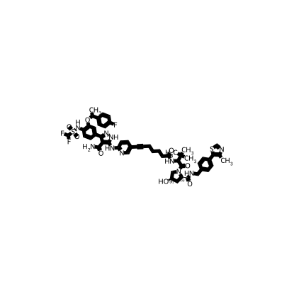 Cc1ncsc1-c1ccc(CNC(=O)[C@@H]2C[C@@H](O)CN2C(=O)C(NC(=O)CCCCC#Cc2ccc(Nc3[nH]nc(-c4ccc(NS(=O)(=O)C(F)F)c(OC(C)c5ccc(F)cc5)c4)c3C(N)=O)nc2)C(C)(C)C)cc1